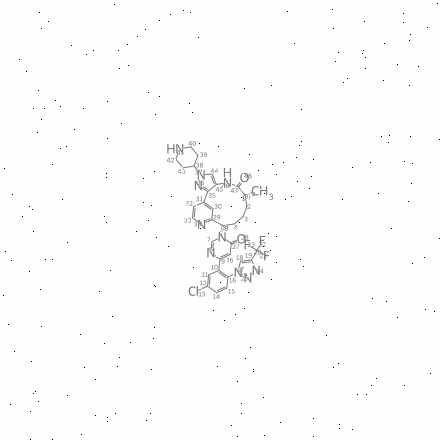 C[C@@H]1CCC[C@H](n2cnc(-c3cc(Cl)ccc3-n3cc(C(F)(F)F)nn3)cc2=O)c2cc(ccn2)-c2nn(C3CCNCC3)cc2NC1=O